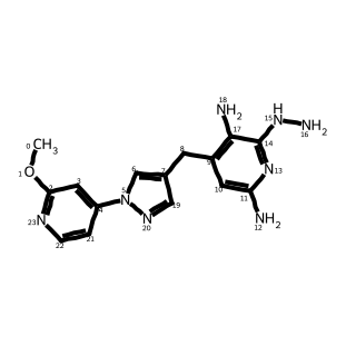 COc1cc(-n2cc(Cc3cc(N)nc(NN)c3N)cn2)ccn1